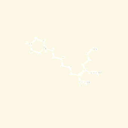 CC(C)CCCC(C(=O)O)=C(CCCCCCN1CCOCC1)C(=O)O